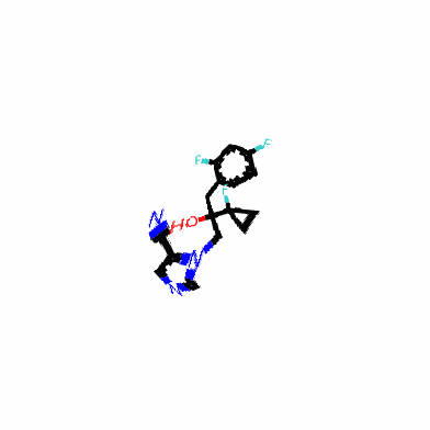 N#Cc1cncn1CC(O)(Cc1ccc(F)cc1F)C1(F)CC1